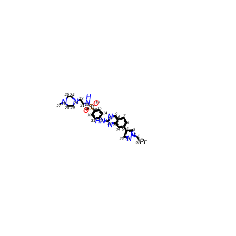 CC(C)Cn1cc(-c2ccc3cnc(Nc4ccc(S(=O)(=O)NCCN5CCN(C)CC5)cc4)nc3c2)cn1